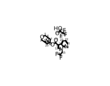 CN1C2COCC1CC(OC(=O)c1cn(CC(F)F)c3ncccc13)C2.O=C(O)C(F)(F)F